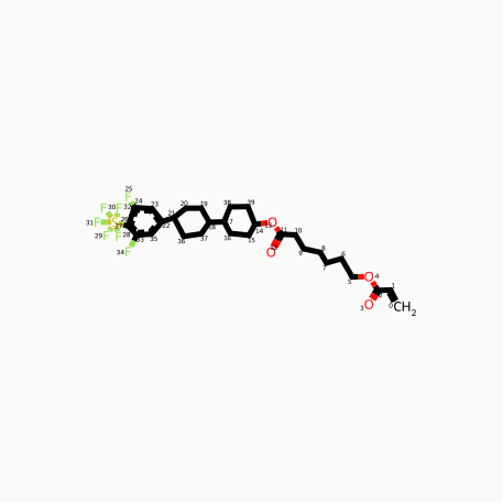 C=CC(=O)OCCCCCCC(=O)OC1CCC(C2CCC(c3cc(F)c(S(F)(F)(F)(F)F)c(F)c3)CC2)CC1